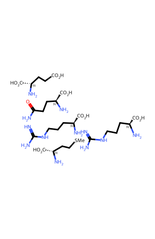 CSCC[C@H](N)C(=O)O.N=C(N)NCCC[C@H](N)C(=O)O.N=C(N)NCCC[C@H](N)C(=O)O.NC(=O)CC[C@H](N)C(=O)O.N[C@@H](CCC(=O)O)C(=O)O